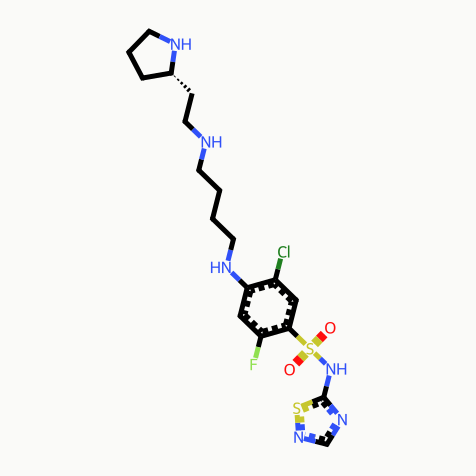 O=S(=O)(Nc1ncns1)c1cc(Cl)c(NCCCCNCC[C@@H]2CCCN2)cc1F